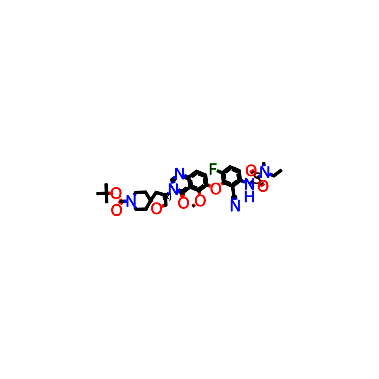 CCN(C)S(=O)(=O)Nc1ccc(F)c(Oc2ccc3ncn([C@H]4COC5(CCN(C(=O)OC(C)(C)C)CC5)C4)c(=O)c3c2OC)c1C#N